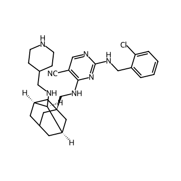 N#Cc1cnc(NCc2ccccc2Cl)nc1NC[C@]12CC3C[C@H](C1)[C@H](NCC1CCNCC1)[C@@H](C3)C2